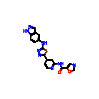 O=C(Nc1cc(-c2nnc(Nc3ccc4[nH]ncc4c3)s2)ccn1)c1cnco1